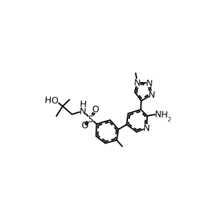 Cc1ccc(S(=O)(=O)NCC(C)(C)O)cc1-c1cnc(N)c(-c2cn(C)nn2)c1